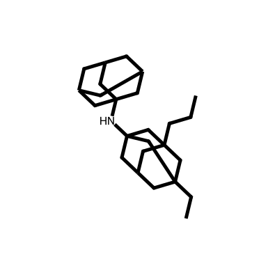 CCCC12CC3CC(CC)(C1)CC(NC14CC5CC(CC(C5)C1)C4)(C3)C2